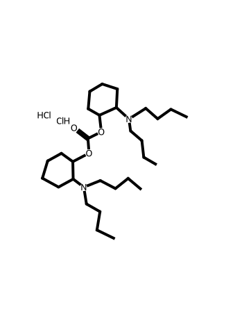 CCCCN(CCCC)C1CCCCC1OC(=O)OC1CCCCC1N(CCCC)CCCC.Cl.Cl